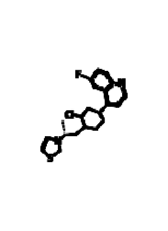 C[C@H](CC1CCC(c2ccnc3ccc(F)cc23)CC1Cl)N1C=CSC1